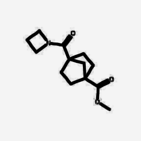 COC(=O)C12CCC(C(=O)N3CCC3)(CC1)C2